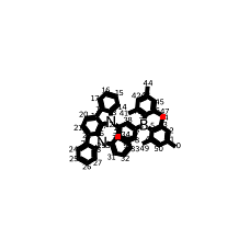 Cc1cc(C)c(B(c2cccc(-n3c4ccccc4c4ccc5c6ccccc6n(-c6ccccc6)c5c43)c2)c2c(C)cc(C)cc2C)c(C)c1